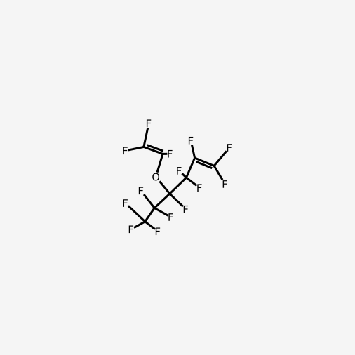 FC(F)=C(F)OC(F)(C(F)(F)C(F)=C(F)F)C(F)(F)C(F)(F)F